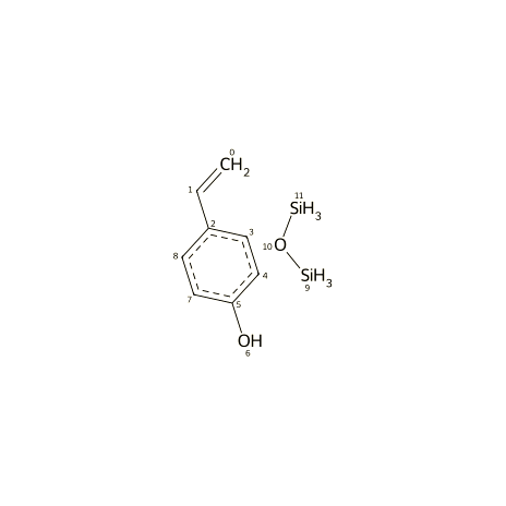 C=Cc1ccc(O)cc1.[SiH3]O[SiH3]